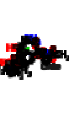 C=C1Oc2cc(OC)cc(C(=O)O[C@H]3COC(=O)C[C@H](N)c4cc(O)c(c(Cl)c4)O[C@@H]4C#C/C=C/3C#CC3=CC=C[C@@]34O[C@@H]3OC(C)(C)[C@@H](N(C)C)[C@@H](O)[C@H]3O)c2NC1=O